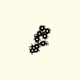 CC1(C)c2cccc3ccc4cc(N(c5ccc(F)cc5)c5ccc6oc7ccc([Si](c8ccccc8)(c8ccccc8)c8ccccc8)cc7c6c5)cc1c4c23